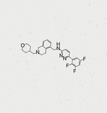 Fc1cc(F)c(F)c(-c2ccc(NCc3cccc4c3CCN(CC3CCOCC3)C4)nn2)c1